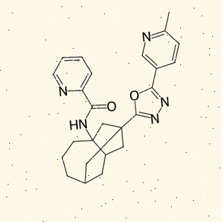 Cc1ccc(-c2nnc(C34CC5CCCC(NC(=O)c6ccccn6)(C3)C(C5)C4)o2)cn1